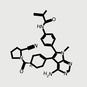 C=C(C)C(=O)Nc1ccc(-c2c(C3=CC[C@H](C(=O)N4CCCC4C#N)CC3)c3c(N)ncnc3n2C)cc1